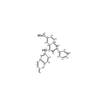 C=C/C=C\c1cc(Nc2nc(-c3cccnc3)nc3ccc(OC)cc23)ccc1C